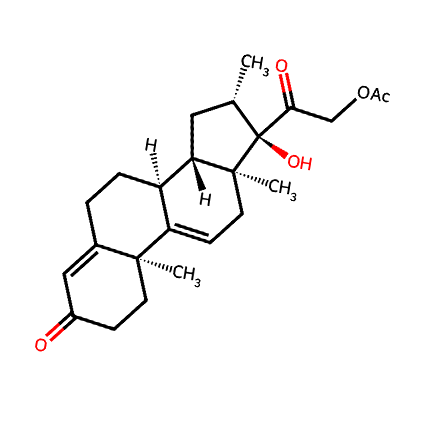 CC(=O)OCC(=O)[C@@]1(O)[C@@H](C)C[C@H]2[C@@H]3CCC4=CC(=O)CC[C@]4(C)C3=CC[C@@]21C